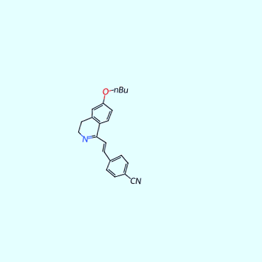 CCCCOc1ccc2c(c1)CCN=C2C=Cc1ccc(C#N)cc1